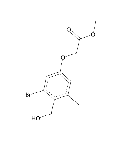 COC(=O)COc1cc(C)c(CO)c(Br)c1